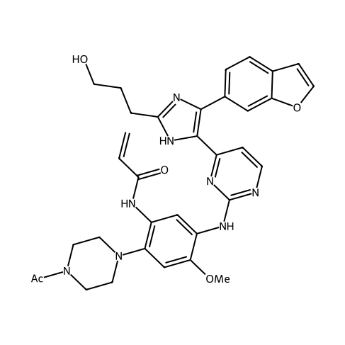 C=CC(=O)Nc1cc(Nc2nccc(-c3[nH]c(CCCO)nc3-c3ccc4ccoc4c3)n2)c(OC)cc1N1CCN(C(C)=O)CC1